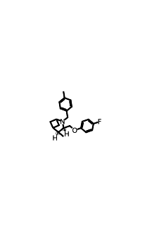 Cc1ccc(CN2C3CC(C3)[C@H](C)[C@H]2COc2ccc(F)cc2)cc1